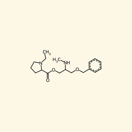 CCN1CCCC1C(=O)OCC(COCc1ccccc1)NC